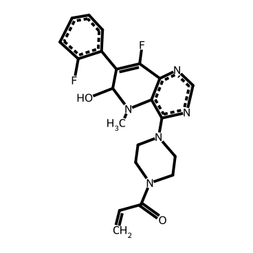 C=CC(=O)N1CCN(c2ncnc3c2N(C)C(O)C(c2ccccc2F)=C3F)CC1